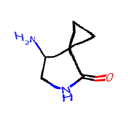 NC1CNC(=O)C12CC2